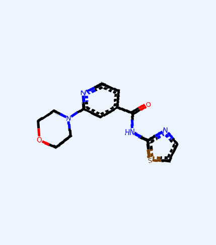 O=C(Nc1nccs1)c1ccnc(N2CCOCC2)c1